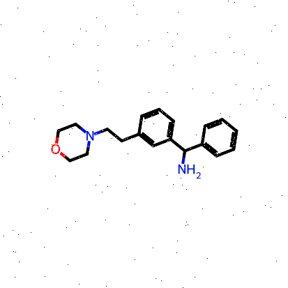 NC(c1ccccc1)c1cccc(CCN2CCOCC2)c1